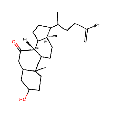 C=C(CCC(C)C1CCC2[C@H]3C(=O)CC4CC(O)CCC4(C)C3CC[C@]12C)C(C)C